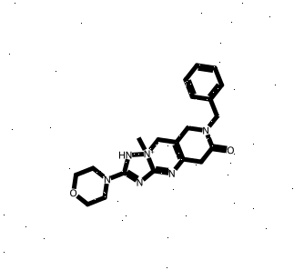 C[N+]12CC3=C(CC(=O)N(Cc4ccccc4)C3)N=C1N=C(N1CCOCC1)N2